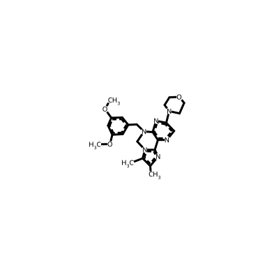 COc1cc(CN2Cn3c(nc(C)c3C)-c3ncc(N4CCOCC4)nc32)cc(OC)c1